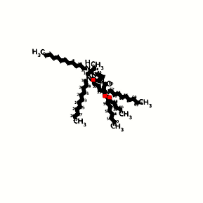 CCCCCCCCCCCCNC(CC)(CN(CCCCCCCCCCCC)CCCCCCCCCCCC)N1CC2CC1CN2C(=O)CN(CCCCCCCCC)CCCCCCCCC